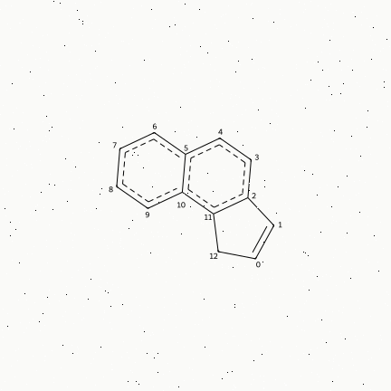 C1=Cc2ccc3ccccc3c2C1